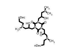 CCCCCCCCCCCCN(C)CC(O)Cn1c(=O)n(CC(O)CN(C)C)c(=O)n(CC(O)CN(C)CCCCCCCCCCCC)c1=O